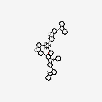 c1ccc(-c2nc(-c3ccc4c(c3)oc3ccc(-n5c6ccccc6c6ccccc65)cc34)nc(-c3cccc4oc5ccc(-c6ccc7c(c6)c6ccc(-c8cccc9c8sc8ccccc89)cc6n7-c6ccccc6)cc5c34)n2)cc1